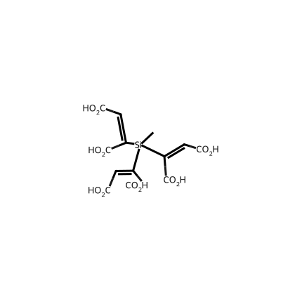 C[Si](/C(=C/C(=O)O)C(=O)O)(/C(=C/C(=O)O)C(=O)O)/C(=C/C(=O)O)C(=O)O